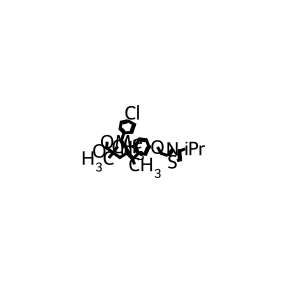 COC(=O)C(C)(C)Cc1c(C)c2cc(OCc3nc(C(C)C)cs3)ccc2n1Cc1ccc(Cl)cc1